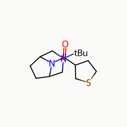 CC(C)(C)N1CC2CCC(C1)N2C(=O)C1CCSC1